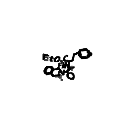 CCOC(=O)C(CCc1ccccc1)N[C@@H](C)C(=O)N1Cc2ccccc2C[C@H]1C